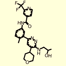 Cc1ccc(NC(=O)c2ccnc(C(F)(F)F)c2)cc1-c1cc(C2CCOCC2)c(NCC(C)O)nn1